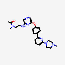 CC(=O)N(C)CCNc1cncc(Oc2ccc(-c3cccc(N4CCN(C)CC4)n3)cc2)n1